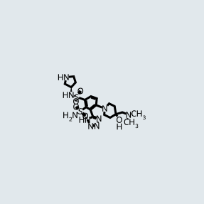 CN(C)CC1(O)CCN(c2ccc(S(=O)(=O)N[C@@H]3CCNC3)c(S(N)(=O)=O)c2-c2nnn[nH]2)CC1